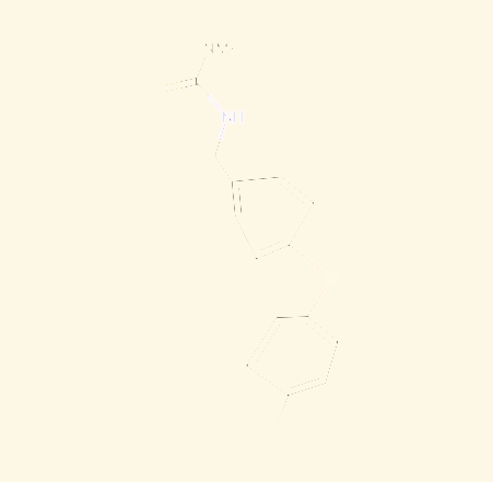 CNC(=S)NCc1ccc(Oc2ccc(F)cc2)cc1